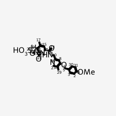 COc1ccc(COc2cc(CNC(=O)[C@@H]3C=C(C)[C@@H]4CN3C(=O)N4OS(=O)(=O)O)ncc2C)cc1